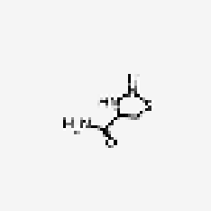 NC(=O)C1CSNN1